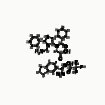 NC(=O)c1ccc2c(c1)CCC2.NCN1C(N(CC(=O)O)C(=O)c2ccccc2)=CSC1c1ccccc1.O=C(O)C(F)(F)F